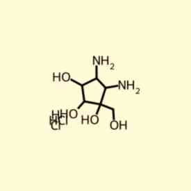 Cl.Cl.NC1C(O)C(O)C(O)(CO)C1N